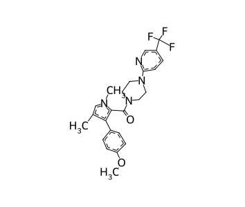 COc1ccc(-c2c(C)cn(C)c2C(=O)N2CCN(c3ccc(C(F)(F)F)cn3)CC2)cc1